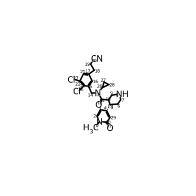 Cn1ccc([C@H]2CCNCC2C(=O)N(Cc2cc(CCC#N)cc(Cl)c2Cl)C2CC2)cc1=O